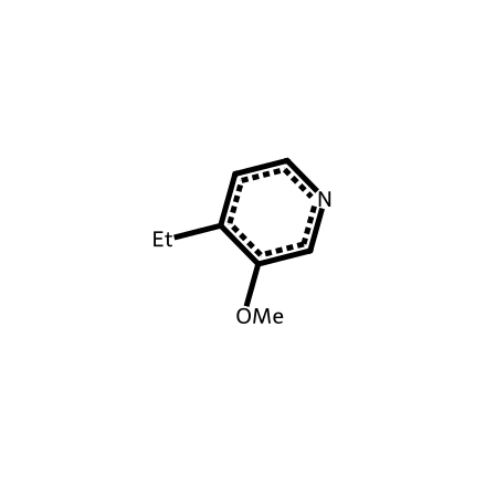 CCc1ccncc1OC